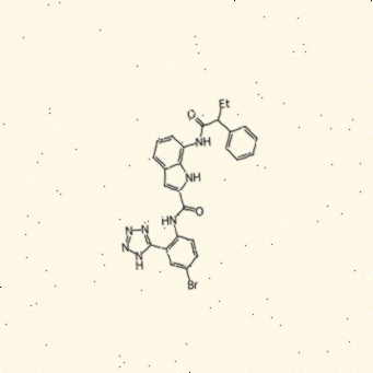 CCC(C(=O)Nc1cccc2cc(C(=O)Nc3ccc(Br)cc3-c3nnn[nH]3)[nH]c12)c1ccccc1